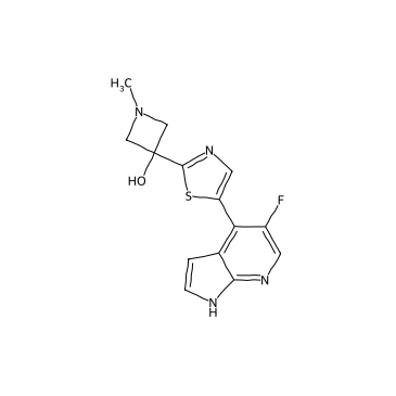 CN1CC(O)(c2ncc(-c3c(F)cnc4[nH]ccc34)s2)C1